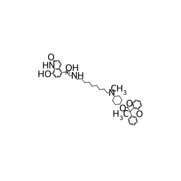 CN(CCCCCCCCCNC[C@H](O)c1ccc(O)c2[nH]c(=O)ccc12)C1CCC(OC(=O)C2(C)c3ccccc3Oc3ccccc32)CC1